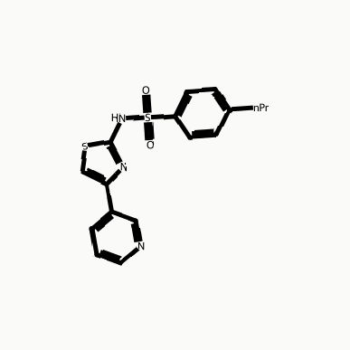 CCCc1ccc(S(=O)(=O)Nc2nc(-c3cccnc3)cs2)cc1